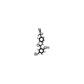 CC(C)(C#N)c1ccc(CC(=O)c2cc(Br)ccc2O)cc1